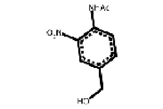 CC(=O)Nc1ccc(CO)cc1[N+](=O)[O-]